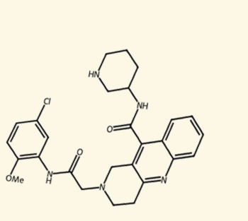 COc1ccc(Cl)cc1NC(=O)CN1CCc2nc3ccccc3c(C(=O)NC3CCCNC3)c2C1